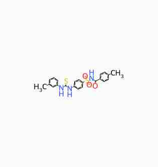 Cc1ccc(C(=O)NS(=O)(=O)c2ccc(NC(=S)Nc3cccc(C)c3)cc2)cc1